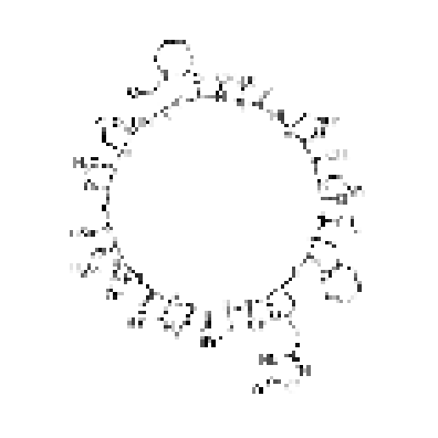 CCCCN1CC(=O)N(C)[C@@H](CC(C)C)C(=O)N[C@H](C(=O)N2CCCCC2)CC(=O)N(C)[C@@H](CC)C(=O)N[C@@H](CC(C)C)C(=O)N(C)[C@@H](CC(C)C)C(=O)N(C)[C@@H](Cc2ccccc2)C(=O)NC(COCc2noc(=O)[nH]2)C(=O)N(C)[C@@H](CC(C)C)C(=O)N(C)[C@@H](CC(C)C)C(=O)N[C@@H]([C@@H](C)O)C1=O